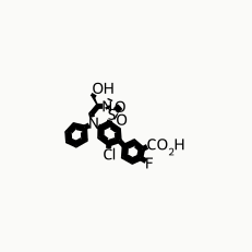 CN1[C@H](CO)CN(c2ccccc2)c2cc(Cl)c(-c3ccc(F)c(C(=O)O)c3)cc2S1(=O)=O